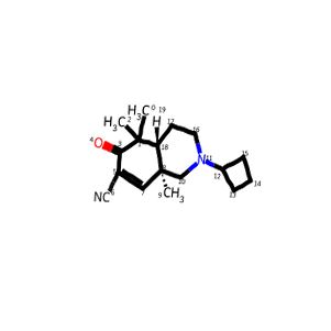 CC1(C)C(=O)C(C#N)=C[C@]2(C)CN(C3CCC3)CC[C@@H]12